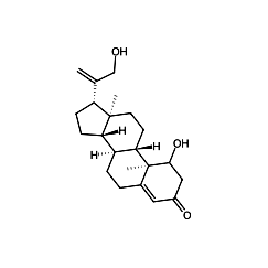 C=C(CO)[C@H]1CC[C@H]2[C@@H]3CCC4=CC(=O)CC(O)[C@]4(C)[C@H]3CC[C@]12C